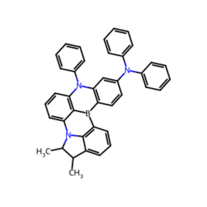 CC1c2cccc3c2N(c2cccc4c2B3c2ccc(N(c3ccccc3)c3ccccc3)cc2N4c2ccccc2)C1C